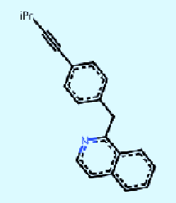 [CH2]C(C)C#Cc1ccc(Cc2nccc3ccccc23)cc1